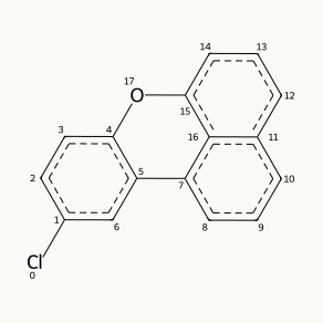 Clc1ccc2c(c1)-c1cccc3cccc(c13)O2